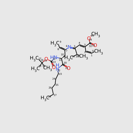 C\C=C/C(=C\C(=N\C(=C/C)C[C@H](NC(=O)OC(C)(C)C)C(=O)NCCCCCC)C(C)C)C(=O)OC